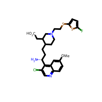 COc1ccc2ncc(Cl)c([C@H](N)CCC3CCN(CCSc4ccc(F)s4)CC3CC(=O)O)c2c1